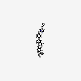 C/C=C\C(=C/CCC=O)CN1CCC(c2cnc3c(ccn3Cc3ccc(C(=O)OC)cc3)c2)CC1